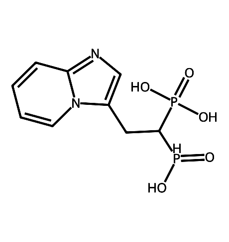 O=[PH](O)C(Cc1cnc2ccccn12)P(=O)(O)O